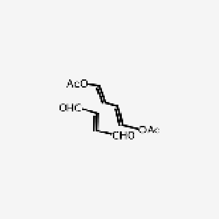 CC(=O)OC=CC=COC(C)=O.O=CC=CC=O